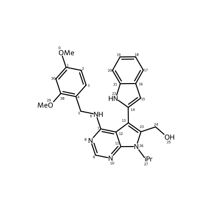 COc1ccc(CNc2ncnc3c2c(-c2cc4ccccc4[nH]2)c(CO)n3C(C)C)c(OC)c1